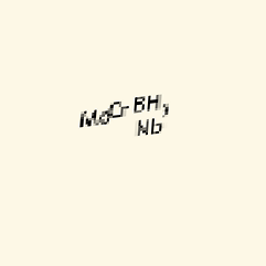 B.[Cr].[Mo].[Nb]